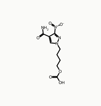 NC(=O)c1cn(CCCCOC(=O)O)nc1[N+](=O)[O-]